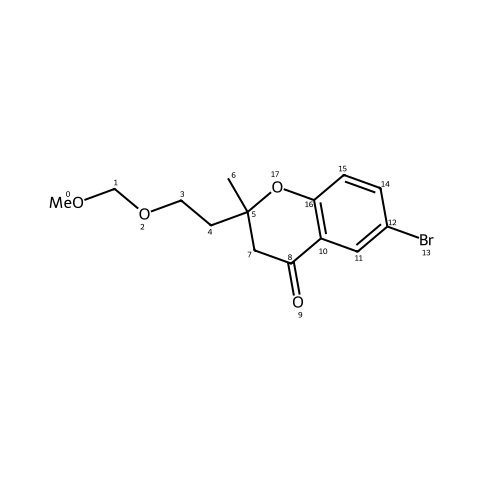 COCOCCC1(C)CC(=O)c2cc(Br)ccc2O1